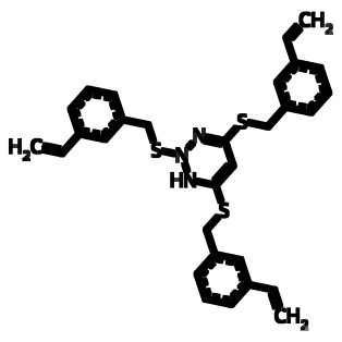 C=Cc1cccc(CSC2=CC(SCc3cccc(C=C)c3)=NN(SCc3cccc(C=C)c3)N2)c1